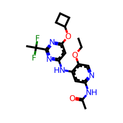 CCOc1cnc(NC(C)=O)cc1Nc1cc(OC2CCC2)nc(C(C)(F)F)n1